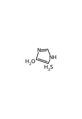 O.S.c1c[nH]cn1